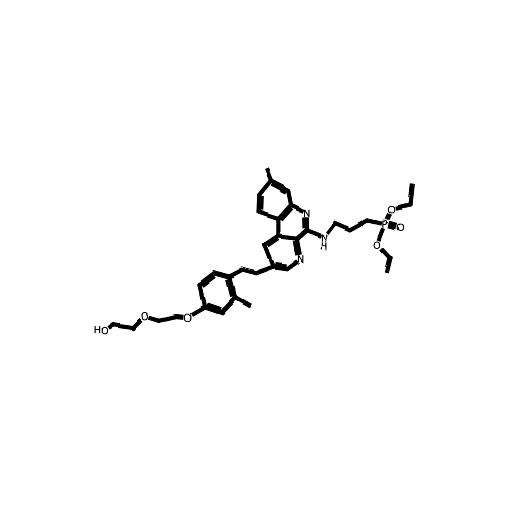 CCOP(=O)(CCCNc1nc2cc(C)ccc2c2cc(CCc3ccc(OCCOCCO)cc3C)cnc12)OCC